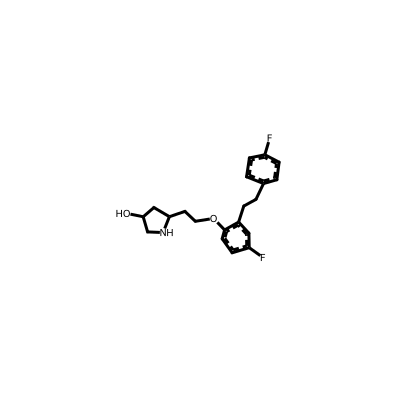 OC1CNC(CCOc2ccc(F)cc2CCc2ccc(F)cc2)C1